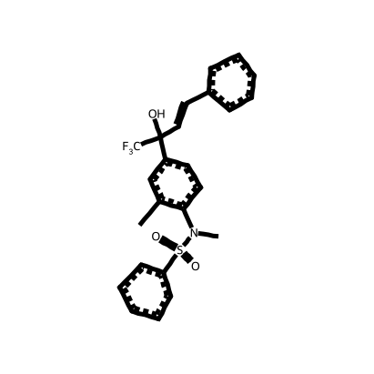 Cc1cc(C(O)(C=Cc2ccccc2)C(F)(F)F)ccc1N(C)S(=O)(=O)c1ccccc1